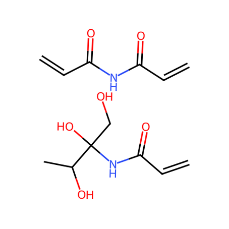 C=CC(=O)NC(=O)C=C.C=CC(=O)NC(O)(CO)C(C)O